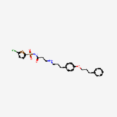 O=C(CCNCCCc1ccc(OCCCc2ccccc2)cc1)NS(=O)(=O)c1ccc(Cl)s1